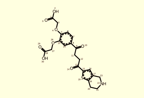 O=C(O)COc1ccc(C(=O)CCC(=O)c2cc3c(s2)CCNC3)cc1OCC(=O)O